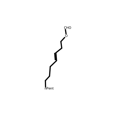 CCCCCCCCC=CCCOC=O